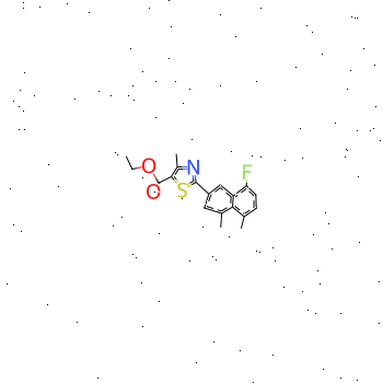 CCOC(=O)c1sc(-c2cc(C)c3c(C)ccc(F)c3c2)nc1C